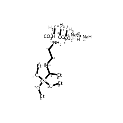 CC(=O)O.CC(=O)O.CC(=O)O.CCO[Si](OCC)(OCC)C(CC)NCCN.[NaH].[NaH].[NaH]